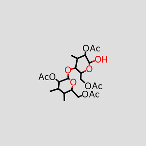 CC(=O)OCC1OC(OC2C(COC(C)=O)OC(O)C(OC(C)=O)C2C)C(OC(C)=O)C(C)C1C